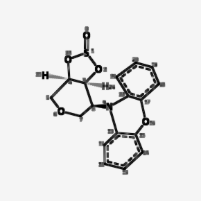 O=S1O[C@@H]2[C@@H](COC[C@@H]2N2c3ccccc3Oc3ccccc32)O1